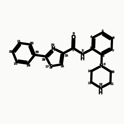 O=C(Nc1ccccc1N1CCNCC1)c1csc(-c2ccccc2)n1